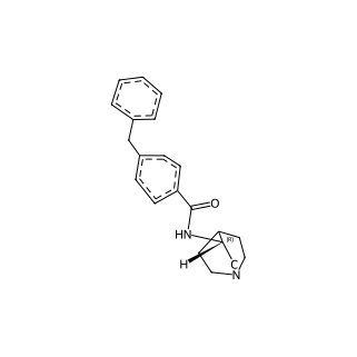 O=C(N[C@H]1CN2CCC1CC2)c1ccc(Cc2ccccc2)cc1